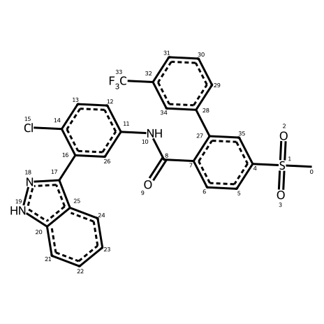 CS(=O)(=O)c1ccc(C(=O)Nc2ccc(Cl)c(-c3n[nH]c4ccccc34)c2)c(-c2cccc(C(F)(F)F)c2)c1